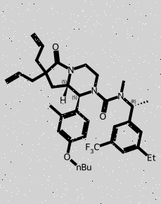 C=CCC1(CC=C)C[C@H]2[C@H](c3ccc(OCCCC)cc3C)N(C(=O)N(C)[C@H](C)c3cc(CC)cc(C(F)(F)F)c3)CCN2C1=O